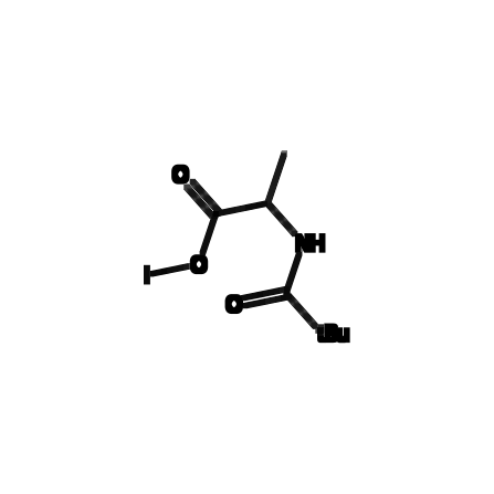 CC(NC(=O)C(C)(C)C)C(=O)OI